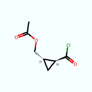 CC(=O)OC[C@H]1C[C@@H]1C(=O)Cl